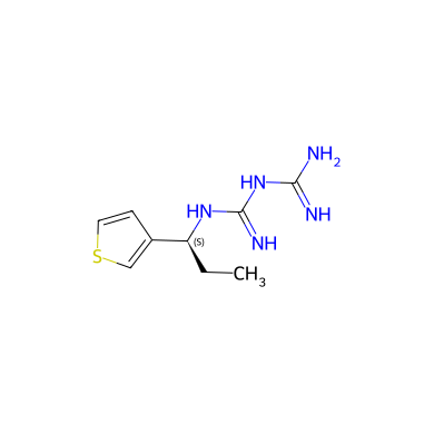 CC[C@H](NC(=N)NC(=N)N)c1ccsc1